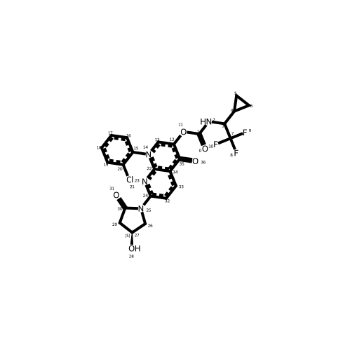 O=C(NC(C1CC1)C(F)(F)F)Oc1cn(-c2ccccc2Cl)c2nc(N3C[C@@H](O)CC3=O)ccc2c1=O